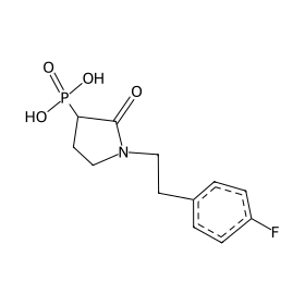 O=C1C(P(=O)(O)O)CCN1CCc1ccc(F)cc1